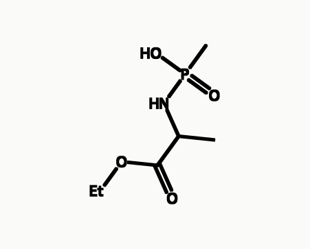 CCOC(=O)C(C)NP(C)(=O)O